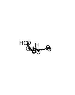 COC(=O)CCCCCCC(=O)Nc1cccc(CNC(=O)CCC(=O)O)c1